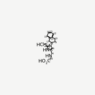 Cl.O=C(O)CNCc1cn(C2CCc3ccccc3C2)c(=S)[nH]1